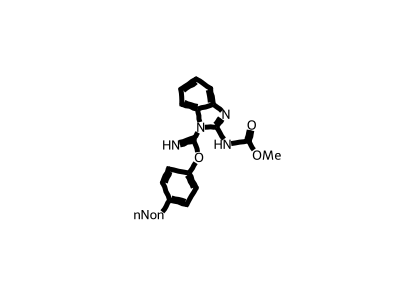 CCCCCCCCCc1ccc(OC(=N)n2c(NC(=O)OC)nc3ccccc32)cc1